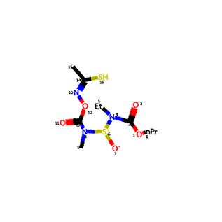 CCCOC(=O)N(CC)[S+]([O-])N(C)C(=O)ON=C(C)S